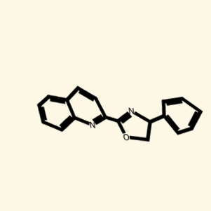 c1ccc(C2COC(c3ccc4ccccc4n3)=N2)cc1